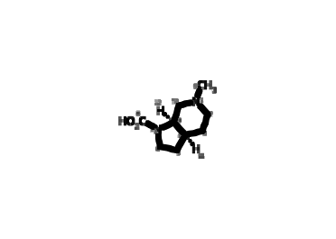 CN1CC[C@H]2CCN(C(=O)O)[C@H]2C1